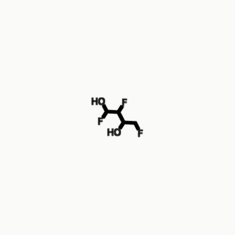 OC(F)C(F)C(O)CF